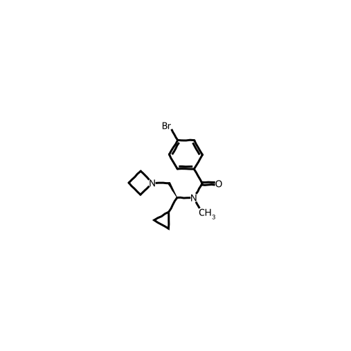 CN(C(=O)c1ccc(Br)cc1)[C@H](CN1CCC1)C1CC1